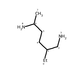 CCC(CN)CCC(C)N